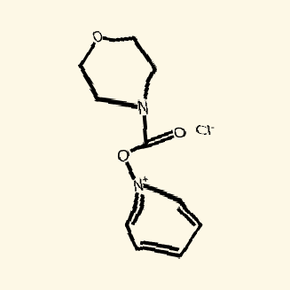 O=C(O[n+]1ccccc1)N1CCOCC1.[Cl-]